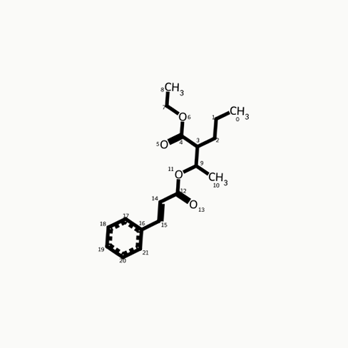 CCCC(C(=O)OCC)C(C)OC(=O)C=Cc1ccccc1